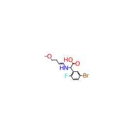 COCC/C=C/NC(C(=O)O)c1cc(Br)ccc1F